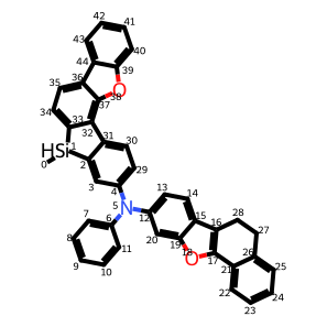 C[SiH]1c2cc(N(c3ccccc3)c3ccc4c5c(oc4c3)-c3ccccc3CC5)ccc2-c2c1ccc1c2oc2ccccc21